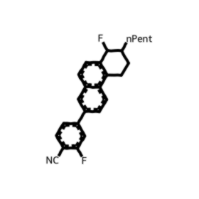 CCCCCC1CCc2c(ccc3cc(-c4ccc(C#N)c(F)c4)ccc23)C1F